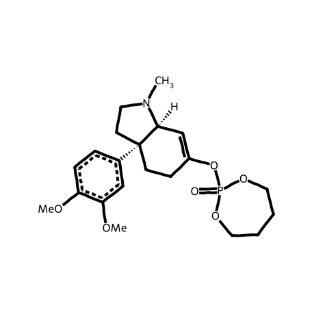 COc1ccc([C@@]23CCC(OP4(=O)OCCCCO4)=C[C@@H]2N(C)CC3)cc1OC